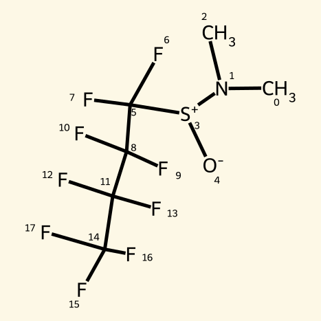 CN(C)[S+]([O-])C(F)(F)C(F)(F)C(F)(F)C(F)(F)F